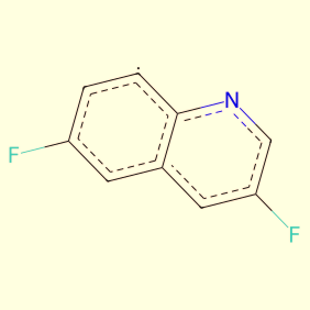 Fc1c[c]c2ncc(F)cc2c1